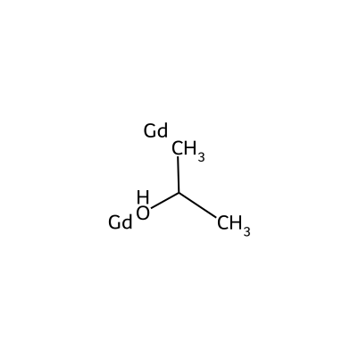 CC(C)O.[Gd].[Gd]